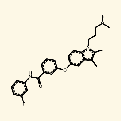 Cc1c(C)n(CCCN(C)C)c2ccc(Oc3cccc(C(=O)Nc4cccc(F)c4)c3)cc12